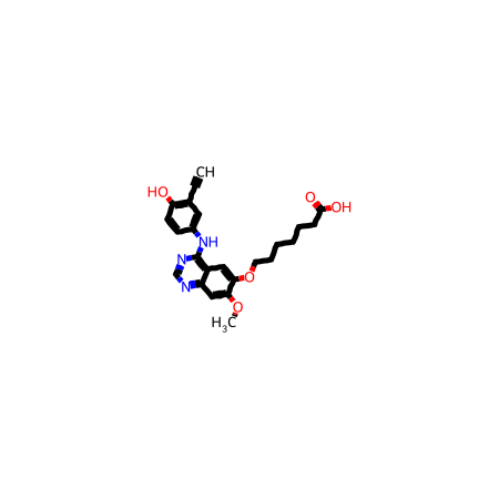 C#Cc1cc(Nc2ncnc3cc(OC)c(OCCCCCCC(=O)O)cc23)ccc1O